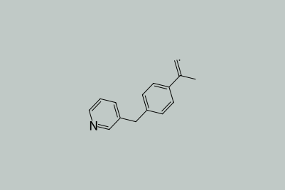 [CH]=C(C)c1ccc(Cc2cccnc2)cc1